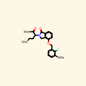 CNC(=O)C(CCC=O)N1Cc2c(OCc3cccc(NC)c3F)cccc2C1=O